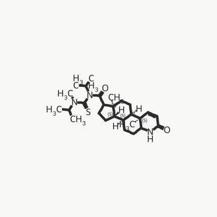 CC(C)N(C)C(=S)N(C(=O)C1CC[C@H]2[C@@H]3CCC4NC(=O)C=C[C@]4(C)[C@@H]3CC[C@]12C)C(C)C